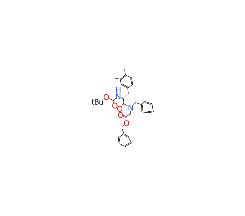 Cc1ccc(C[C@@H](NC(=O)OC(C)(C)C)C(=O)N(CC(=O)OCc2ccccc2)Cc2ccccc2)cc1C